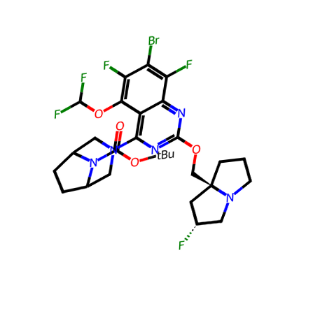 CC(C)(C)OC(=O)N1C2CCC1CN(c1nc(OC[C@@]34CCCN3C[C@H](F)C4)nc3c(F)c(Br)c(F)c(OC(F)F)c13)C2